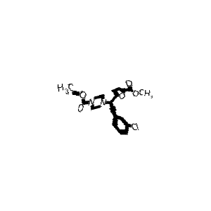 CCOC(=O)N1CCN(C(C#Cc2cccc(Cl)c2)c2ccc(C(=O)OC)o2)CC1